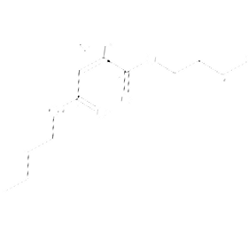 CCCCOC(=O)/C=C\C(=O)OCCCC.[SnH2]